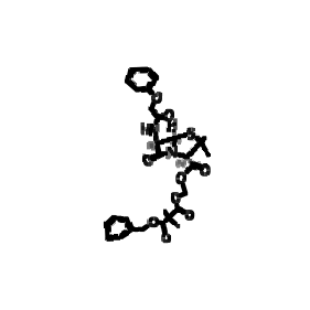 CC(C)(C(=O)OCOC(=O)[C@@H]1N2C(=O)[C@@H](NC(=O)COc3ccccc3)[C@H]2SC1(C)C)C(=O)OCc1ccccc1